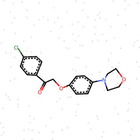 O=C(COc1ccc(N2CCOCC2)cc1)c1ccc(Cl)cc1